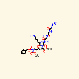 CC(C)(C)OC(=O)[C@H](CCCCN(C(=O)OCc1ccccc1)C(=O)OC(C)(C)C)N(C(=O)CNC(=O)CNC(=O)CNC(=O)CN=[N+]=[N-])C(=O)[C@@H](N)CCCCN